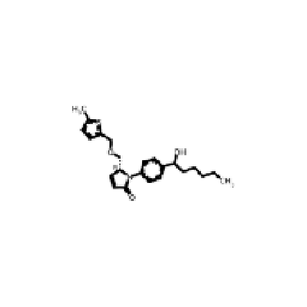 CCCCCC(O)c1ccc(N2C(=O)C=C[C@@H]2COCc2ccc(C)s2)cc1